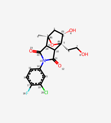 C[C@]12C[C@H](O)[C@](CCO)(O1)C1C(=O)N(c3ccc(F)c(Cl)c3)C(=O)C12